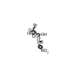 O=C(OC[C@H]1O[C@@H](n2cc(C=CBr)c(=O)[nH]c2=O)C[C@@H]1O)Oc1ccc([N+](=O)[O-])cc1